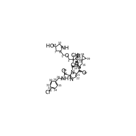 CC(C)(COCC1CC(O)CN1)S(=O)(=O)C1(CN2CCn3c(cnc3C(=O)NCc3ccc(Cl)cc3)C2=O)CC1